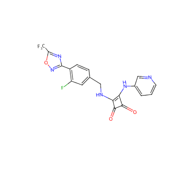 O=c1c(NCc2ccc(-c3noc(C(F)(F)F)n3)c(F)c2)c(Nc2cccnc2)c1=O